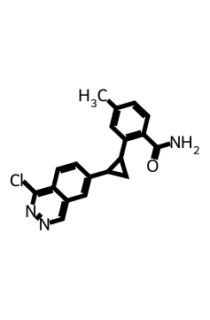 Cc1ccc(C(N)=O)c(C2CC2c2ccc3c(Cl)nncc3c2)c1